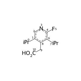 CC(C)c1cnc(F)c(C(C)C)c1CC(=O)O